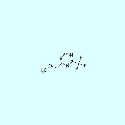 COCc1c[c]nc(C(F)(F)F)n1